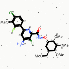 COC[C@H]1C[C@H](ONC(=O)c2nc(-c3ccc(Cl)c(OC)c3F)cc(N)c2Cl)[C@H](OC)[C@@H](OC)[C@@H]1OC